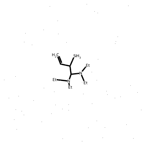 C=CC([SiH3])C(N(CC)CC)N(CC)CC